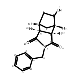 N#CC1C[C@@H]2C[C@H]1[C@H]1C(=O)N(Cc3ccccc3)C(=O)[C@@H]21